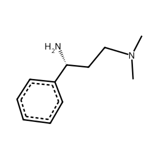 CN(C)CC[C@@H](N)c1ccccc1